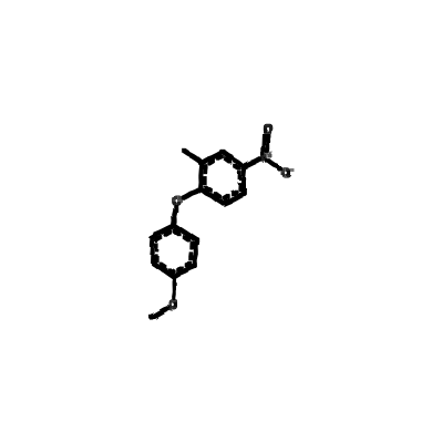 COc1ccc(Oc2ccc([N+](=O)[O-])cc2C)cc1